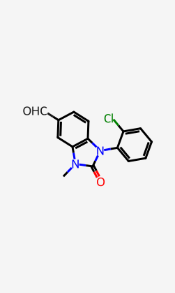 Cn1c(=O)n(-c2ccccc2Cl)c2ccc(C=O)cc21